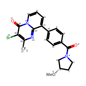 CO[C@H]1CCN(C(=O)c2ccc(-c3cccn4c(=O)c(Br)c(C(F)(F)F)nc34)cc2)C1